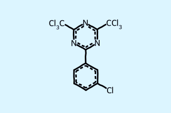 Clc1cccc(-c2nc(C(Cl)(Cl)Cl)nc(C(Cl)(Cl)Cl)n2)c1